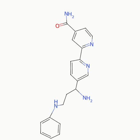 NC(=O)c1ccnc(-c2ccc(C(N)CCNc3ccccc3)cn2)c1